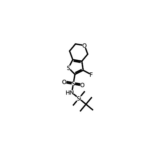 CC(C)(C)[Si](C)(C)NS(=O)(=O)c1sc2c(c1F)COCC2